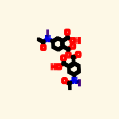 CC(=O)N(I)C1CCC(C(=O)OC(=O)C2=C(C(=O)O)CC(N(I)C(C)=O)CC2)=C(C(=O)O)C1